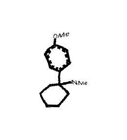 CNC1(c2ccc(OC)cc2)CCCCC1